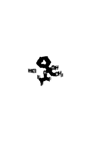 CCC(O)(OC(F)C(F)F)c1ccccc1.Cl